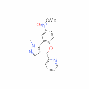 CO[N+](=O)c1ccc(OCc2ccccn2)c(-c2ccnn2C)c1